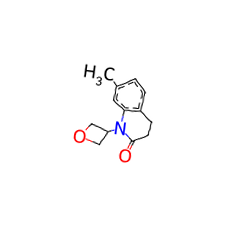 Cc1ccc2c(c1)N(C1COC1)C(=O)CC2